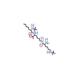 CCCCCC(NC(C)(C)C)C(=O)NC(CCCCNC(=O)C(CCCCNC(C)(C)C)NC)C(C)=O